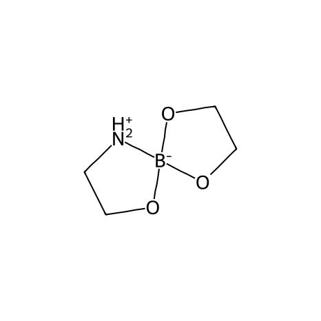 C1CO[B-]2([NH2+]1)OCCO2